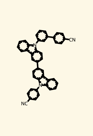 N#Cc1ccc(-c2cccc(-n3c4ccccc4c4cc(-c5ccc6c(c5)c5ccccc5n6-c5ccc(C#N)cc5)ccc43)c2)cc1